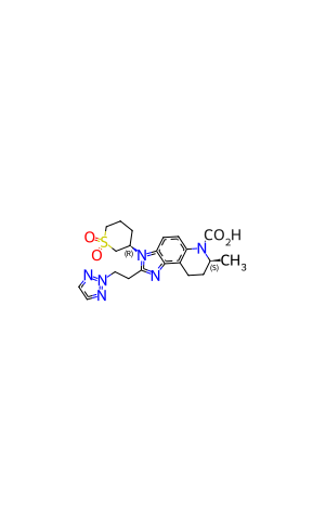 C[C@H]1CCc2c(ccc3c2nc(CCn2nccn2)n3[C@@H]2CCCS(=O)(=O)C2)N1C(=O)O